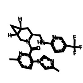 Cc1cn(-c2ccc(C)nc2C(=O)N2C[C@@H]3C[C@@H]3C[C@H]2CNc2ccc(C(F)(F)F)cn2)cn1